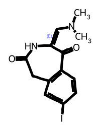 CN(C)/C=C1/NC(=O)Cc2cc(I)ccc2C1=O